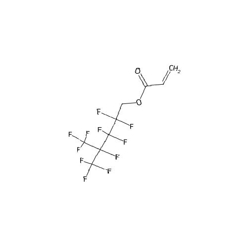 C=CC(=O)OCC(F)(F)C(F)(F)C(F)(C(F)(F)F)C(F)(F)F